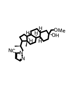 COC[C@@]1(O)CC[C@H]2[C@H](CC[C@@H]3[C@@H]2CC[C@]2(C)C([C@H](C)Cn4nccc4C#N)CC[C@@H]32)C1